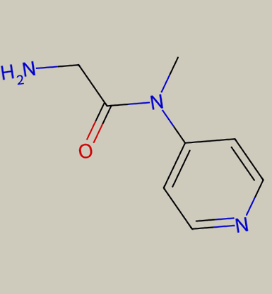 CN(C(=O)CN)c1ccncc1